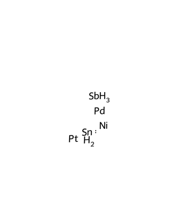 [Ni].[Pd].[Pt].[SbH3].[SnH2]